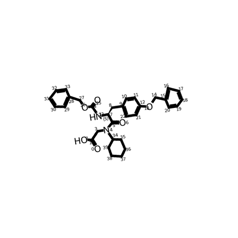 O=C(O)CN(C(=O)[C@H](Cc1ccc(OCc2ccccc2)cc1)NC(=O)OCc1ccccc1)C1CCCCC1